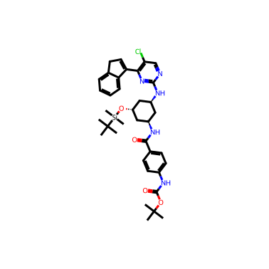 CC(C)(C)OC(=O)Nc1ccc(C(=O)N[C@@H]2C[C@H](Nc3ncc(Cl)c(C4=CCc5ccccc54)n3)C[C@@H](O[Si](C)(C)C(C)(C)C)C2)cc1